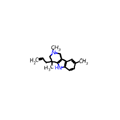 C=CCC1(C)CN(C)Cc2c1[nH]c1ccc(C)cc21